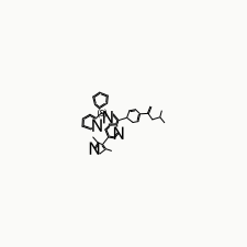 C=C(CC(C)C)C1=CCC(c2cn([C@@H](c3ccccc3)c3ccccn3)c3cc(C4=C(C)CN=C4C)cnc23)C=C1